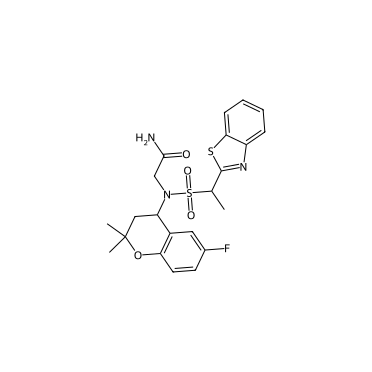 CC(c1nc2ccccc2s1)S(=O)(=O)N(CC(N)=O)C1CC(C)(C)Oc2ccc(F)cc21